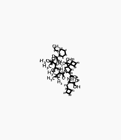 CCN1CCCC[C@@H]1C(=O)N[C@H](C(=O)N[C@@H](C(=O)N1CC2(C[C@H]1C(=O)N[C@H](CC1CCC1)C(=O)O)C(C)(C)C21CCC1)C(C)(C)C)C(C)(C)C